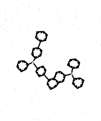 c1ccc(-c2ccc(N(c3ccccc3)c3ccc(-c4cccc5cc(N(c6ccccc6)c6ccccc6)ccc45)cc3)cc2)cc1